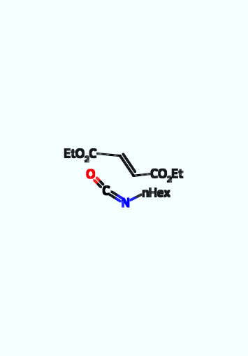 CCCCCCN=C=O.CCOC(=O)C=CC(=O)OCC